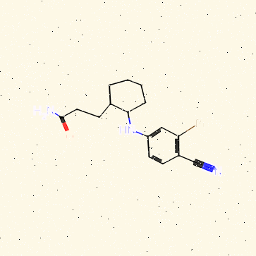 N#Cc1ccc(NC2CCCCC2CCC(N)=O)cc1Br